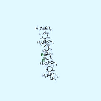 BC(C)(C)c1ccc(C(C)(C)c2ccc(-c3ccc(C(C)(C)C4CCC(C(C)C)CC4)cc3)c(F)c2F)cc1